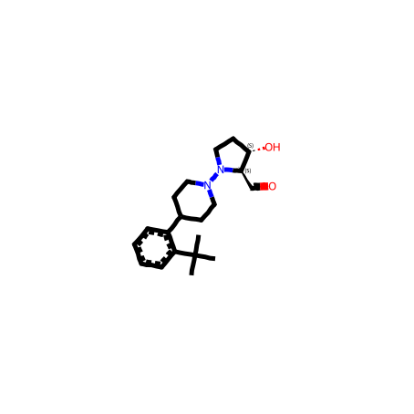 CC(C)(C)c1ccccc1C1CCN(N2CC[C@H](O)[C@H]2C=O)CC1